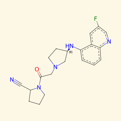 N#CC1CCCN1C(=O)CN1CC[C@@H](Nc2cccc3ncc(F)cc23)C1